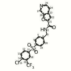 O=C(NCc1ccc(S(=O)(=O)c2ccc(Cl)c(C(F)(F)F)c2)cc1)c1cc2ccncc2o1